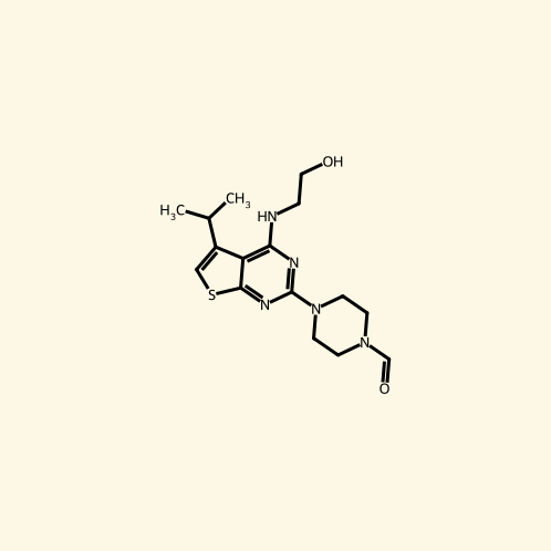 CC(C)c1csc2nc(N3CCN(C=O)CC3)nc(NCCO)c12